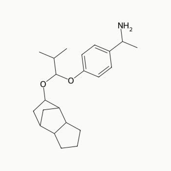 CC(N)c1ccc(OC(OC2CC3CC2C2CCCC32)C(C)C)cc1